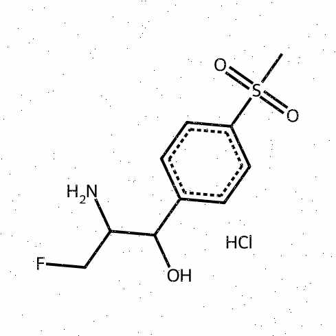 CS(=O)(=O)c1ccc(C(O)C(N)CF)cc1.Cl